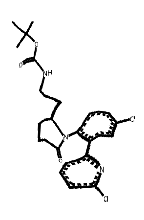 CC(C)(C)OC(=O)NCCC1CCC(=O)N1c1ccc(Cl)cc1-c1cccc(Cl)n1